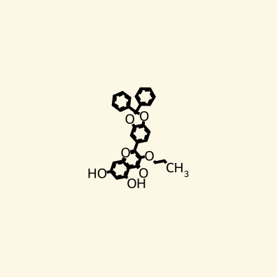 CCCOc1c(-c2ccc3c(c2)OC(c2ccccc2)(c2ccccc2)O3)oc2cc(O)cc(O)c2c1=O